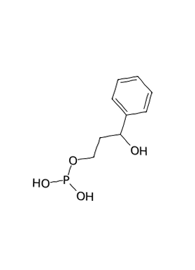 OC(CCOP(O)O)c1ccccc1